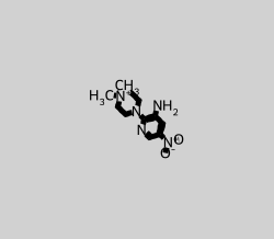 C[N+]1(C)CCN(c2ncc([N+](=O)[O-])cc2N)CC1